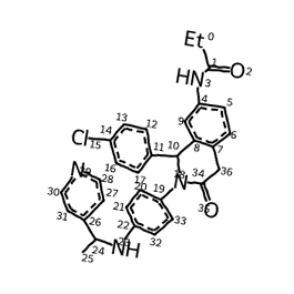 CCC(=O)Nc1ccc2c(c1)C(c1ccc(Cl)cc1)N(c1ccc(NC(C)c3ccncc3)cc1)C(=O)C2